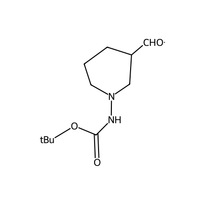 CC(C)(C)OC(=O)NN1CCCC([C]=O)C1